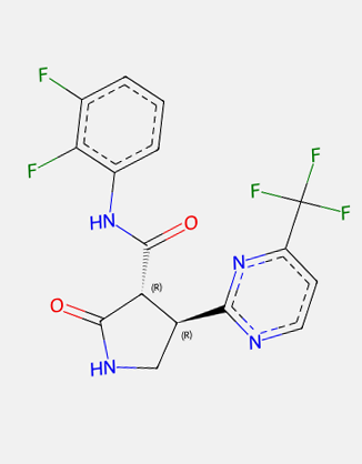 O=C1NC[C@H](c2nccc(C(F)(F)F)n2)[C@H]1C(=O)Nc1cccc(F)c1F